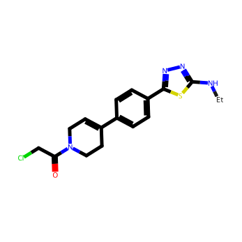 CCNc1nnc(-c2ccc(C3=CCN(C(=O)CCl)CC3)cc2)s1